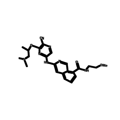 COCCNC(=O)c1cccc2cc(Nc3cnc(C#N)c(OC(C)CN(C)C)n3)ncc12